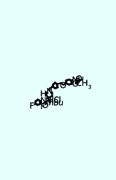 CCCCN(C(=O)Nc1ccc(F)cc1F)C1CCN(Cc2ccc(COc3ccc(NS(C)(=O)=O)cc3)cc2)CC1.Cl